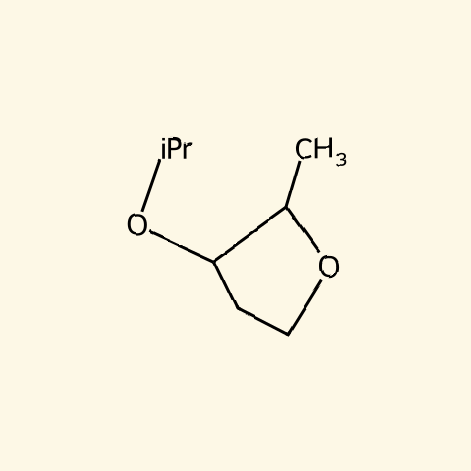 CC(C)OC1CCOC1C